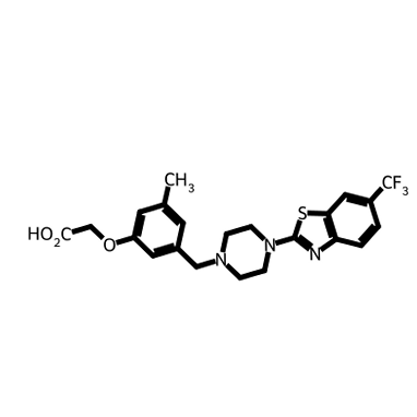 Cc1cc(CN2CCN(c3nc4ccc(C(F)(F)F)cc4s3)CC2)cc(OCC(=O)O)c1